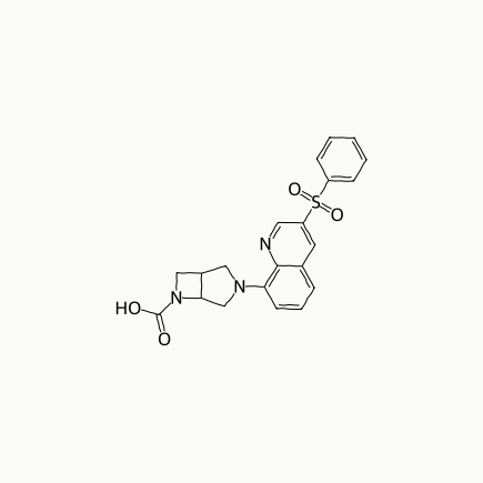 O=C(O)N1CC2CN(c3cccc4cc(S(=O)(=O)c5ccccc5)cnc34)CC21